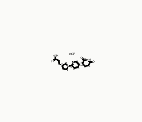 Cl.O=C(O)CC[C@@H]1CCN(c2ccc([C@H]3CCC(=O)NC3=O)cn2)C1